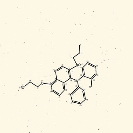 CCCC(=O)c1cnc2c(OCCO)cccc2c1N(c1ccccc1)c1ccccc1C